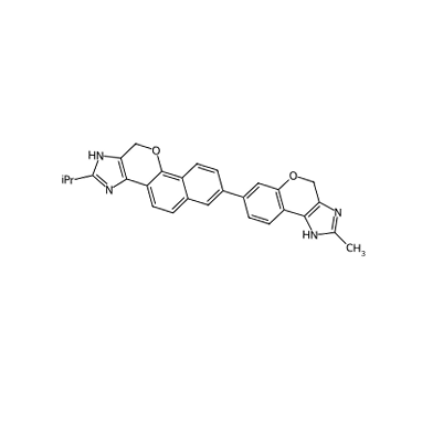 Cc1nc2c([nH]1)-c1ccc(-c3ccc4c5c(ccc4c3)-c3nc(C(C)C)[nH]c3CO5)cc1OC2